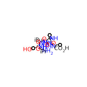 CC[C@H](C)[C@H](NC(=O)[C@H](CCc1ccc(O)cc1)NC(=O)[C@@H](CN)C(C)C)C(=O)N[C@H]1Cc2c([nH]c3ccccc23)CN(CC(=O)N[C@@H](Cc2ccccc2)C(=O)O)C1=O